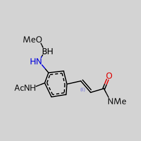 CNC(=O)/C=C/c1ccc(NC(C)=O)c(NBOC)c1